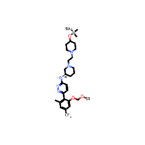 CCOCOc1cc(C(F)(F)F)cc(C)c1-c1ccc(N[C@@H]2CCCN(CCN3CCC(O[Si](C)(C)C(C)(C)C)CC3)C2)nn1